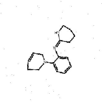 C1=CCN(c2ccccc2/N=C2\CCCCN2)CC1